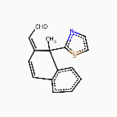 CC1(c2nccs2)C(=CC=O)C=Cc2ccccc21